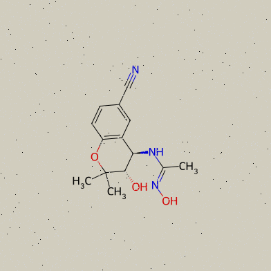 CC(=NO)N[C@@H]1c2cc(C#N)ccc2OC(C)(C)[C@H]1O